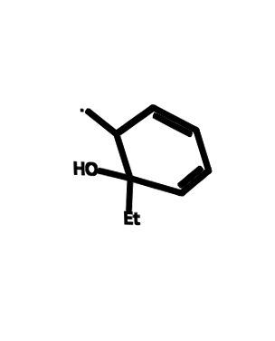 [CH2]C1C=CC=CC1(O)CC